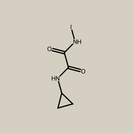 O=C(NI)C(=O)NC1CC1